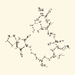 CN(CCCCN1C(=O)CC2(CCCC2)CC1=O)CCc1ccc(N)c(C(F)(F)F)c1.O=C(O)C(=O)O.O=C(O)C1CCCCC1